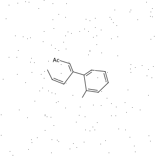 C/C=C\C(=C/C(C)=O)c1ccccc1C